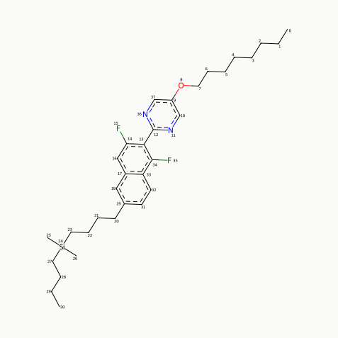 CCCCCCCCOc1cnc(-c2c(F)cc3cc(CCCC[Si](C)(C)CCCC)ccc3c2F)nc1